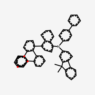 CC1(C)c2ccccc2-c2ccc(N(c3ccc(-c4ccccc4)cc3)c3ccc(-c4cccc(-c5ccccc5)c4-c4ccccc4-c4ccccc4)c4ccccc34)cc21